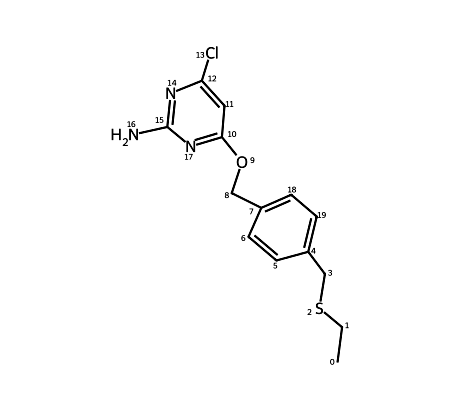 CCSCc1ccc(COc2cc(Cl)nc(N)n2)cc1